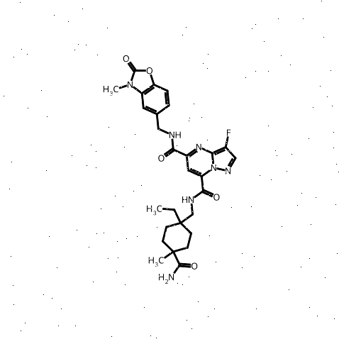 CCC1(CNC(=O)c2cc(C(=O)NCc3ccc4oc(=O)n(C)c4c3)nc3c(F)cnn23)CCC(C)(C(N)=O)CC1